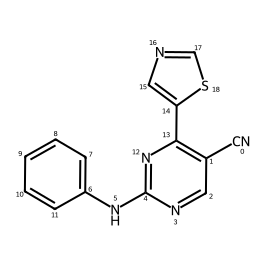 N#Cc1cnc(Nc2ccccc2)nc1-c1cncs1